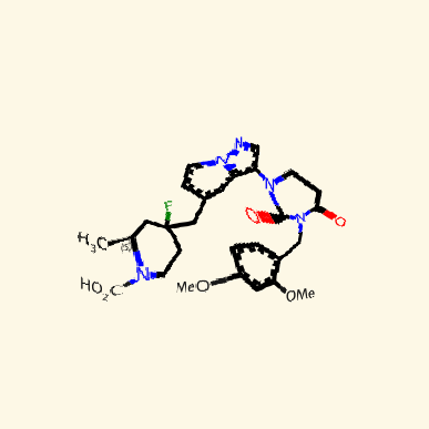 COc1ccc(CN2C(=O)CCN(c3cnn4ccc(CC5(F)CCN(C(=O)O)[C@@H](C)C5)cc34)C2=O)c(OC)c1